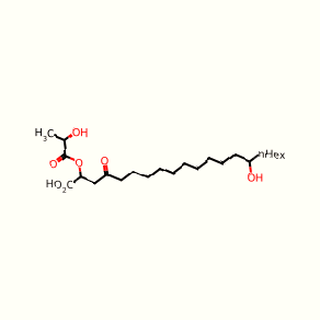 CCCCCCC(O)CCCCCCCCCCC(=O)CC(OC(=O)C(C)O)C(=O)O